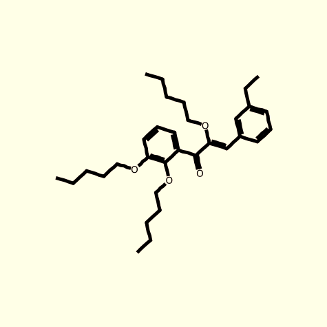 CCCCCOC(=Cc1cccc(CC)c1)C(=O)c1cccc(OCCCCC)c1OCCCCC